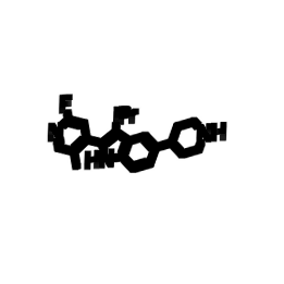 Cc1cnc(F)cc1-c1[nH]c2ccc(C3CCNCC3)cc2c1C(C)C